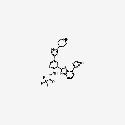 O=C(ONc1ncc(-c2cnn(C3CCNCC3)c2)cc1-c1nc2cccc(-c3cc[nH]c3)c2s1)C(F)(F)F